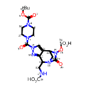 CC(C)(C)OC(=O)N1CCN(C(=O)n2cc3c(n2)C(CNC(=O)O)N2CC3N(OS(=O)(=O)O)C2=O)CC1